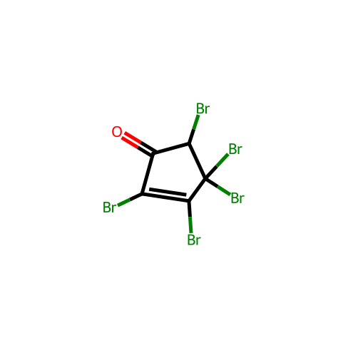 O=C1C(Br)=C(Br)C(Br)(Br)C1Br